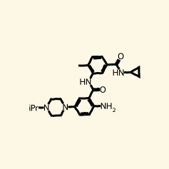 Cc1ccc(C(=O)NC2CC2)cc1NC(=O)c1cc(N2CCN(C(C)C)CC2)ccc1N